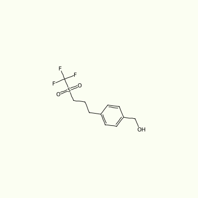 O=S(=O)(CCCc1ccc(CO)cc1)C(F)(F)F